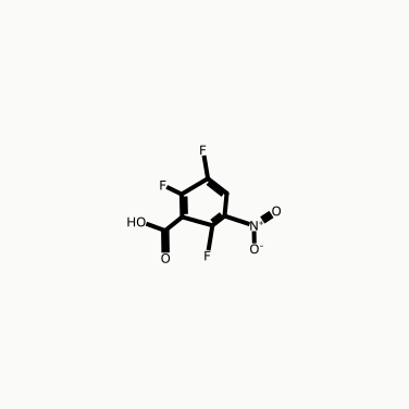 O=C(O)c1c(F)c(F)cc([N+](=O)[O-])c1F